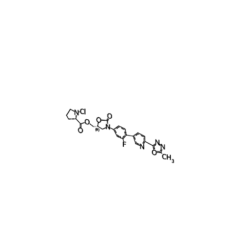 Cc1nnc(-c2ccc(-c3ccc(N4C[C@H](COC(=O)C5CCCN5Cl)OC4=O)cc3F)cn2)o1